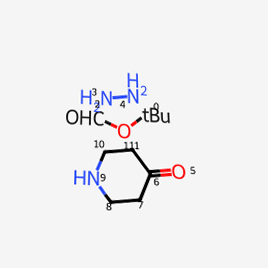 CC(C)(C)OC=O.NN.O=C1CCNCC1